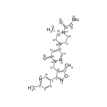 Cc1ccc(-c2noc(C)c2Cn2ncc(N3CCN(C(=O)OC(C)(C)C)[C@@H](C)C3)cc2=O)cn1